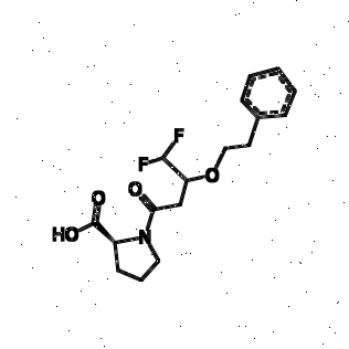 O=C(O)[C@@H]1CCCN1C(=O)CC(OCCc1ccccc1)C(F)F